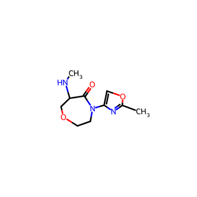 CNC1COCCN(c2coc(C)n2)C1=O